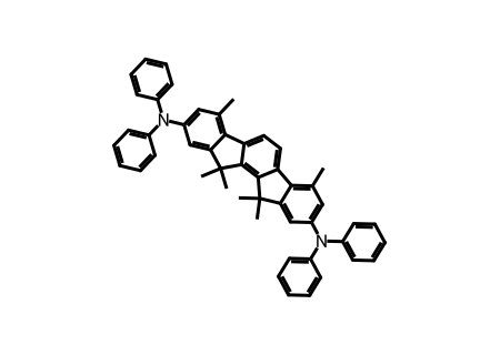 Cc1cc(N(c2ccccc2)c2ccccc2)cc2c1-c1ccc3c(c1C2(C)C)C(C)(C)c1cc(N(c2ccccc2)c2ccccc2)cc(C)c1-3